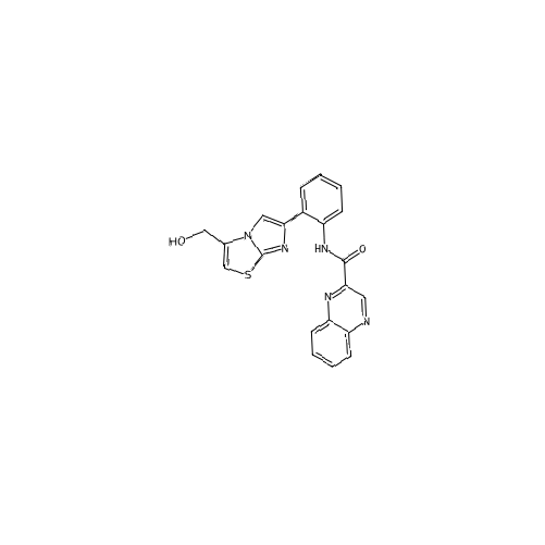 O=C(Nc1ccccc1-c1cn2c(CO)csc2n1)c1cnc2ccccc2n1